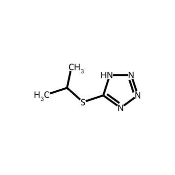 C[C](C)Sc1nnn[nH]1